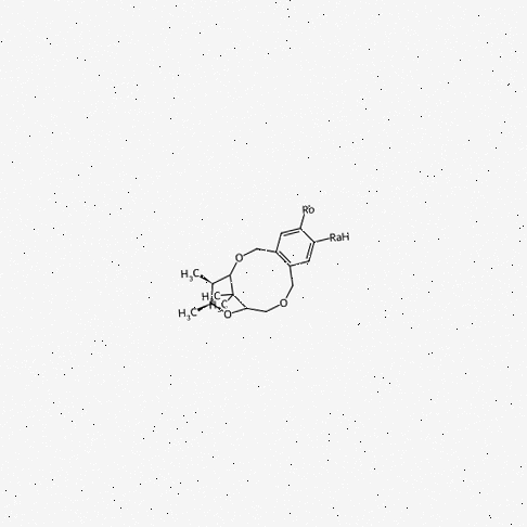 C[C@@H]1OC2COCc3c[c]([RaH])[c]([Rb])cc3COC([C@@H]1C)C2(C)C